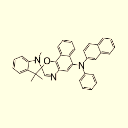 CN1c2ccccc2C(C)(C)C12C=Nc1cc(N(c3ccccc3)c3ccc4ccccc4c3)c3ccccc3c1O2